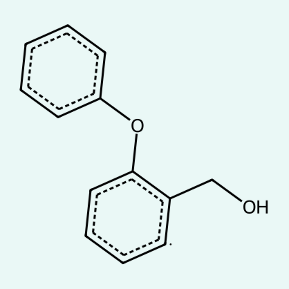 OCc1[c]cccc1Oc1ccccc1